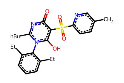 CCCCc1nc(=O)c(S(=O)(=O)c2ccc(C)cn2)c(O)n1-c1c(CC)cccc1CC